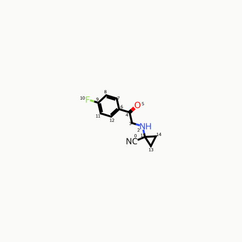 N#CC1(NCC(=O)c2ccc(F)cc2)CC1